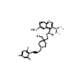 COc1ccc2ncc(N(C)C)c([C@@H](F)CCC3(CO)CCN(CC#Cc4c(F)cc(F)cc4F)CC3)c2c1